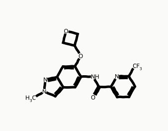 Cn1cc2cc(NC(=O)c3cccc(C(F)(F)F)n3)c(OC3COC3)cc2n1